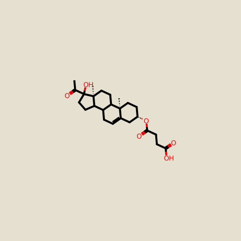 CC(=O)C1(O)CCC2C3CC=C4C[C@@H](OC(=O)CCC(=O)O)CC[C@]4(C)C3CC[C@@]21C